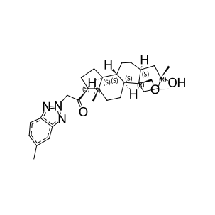 COC[C@]12CC[C@@](C)(O)C[C@@H]1CC[C@H]1[C@@H]3CC[C@H](C(=O)Cn4nc5ccc(C)cc5n4)[C@@]3(C)CC[C@@H]12